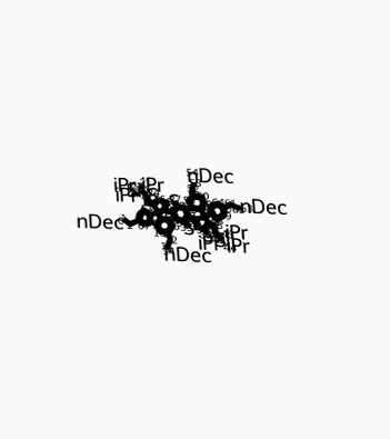 CCCCCCCCCCCCc1ccc(C2(c3ccc(CCCCCCCCCCCC)cc3)c3cc([Si](C(C)C)(C(C)C)C(C)C)sc3-c3sc4cc5c6c(sc5cc4c32)-c2sc([Si](C(C)C)(C(C)C)C(C)C)cc2C6(c2ccc(CCCCCCCCCCCC)cc2)c2ccc(CCCCCCCCCCCC)cc2)cc1